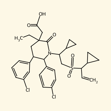 C=CC(C1CC1)S(=O)(=O)CC(C1CC1)N1C(=O)C(CC)(CC(=O)O)CC(c2cccc(Cl)c2)C1c1ccc(Cl)cc1